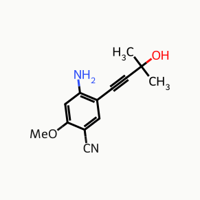 COc1cc(N)c(C#CC(C)(C)O)cc1C#N